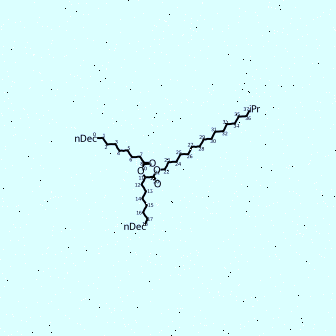 CCCCCCCCCCCCCCCCCC(=O)OC(CCCCCCCCCCCCCCCC)C(=O)OCCCCCCCCCCCCCCCC(C)C